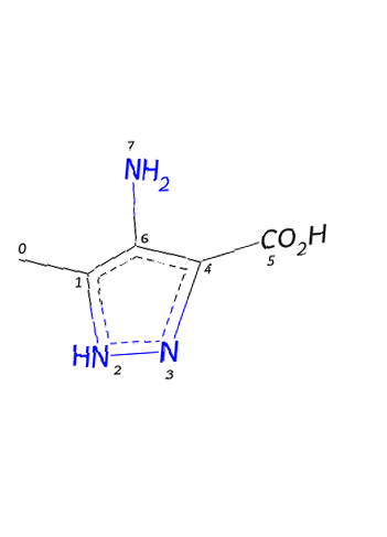 Cc1[nH]nc(C(=O)O)c1N